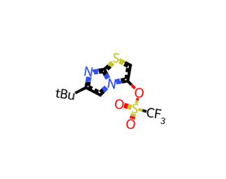 CC(C)(C)c1cn2c(OS(=O)(=O)C(F)(F)F)csc2n1